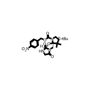 CC(C)(C)[C@H]1CN(C(=O)OCc2ccc([N+](=O)[O-])cc2)[C@](CN2C(=O)CNC2=O)(O[SiH3])C1(C)C